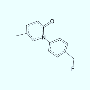 Cc1ccc(=O)n(-c2ccc(CF)cc2)c1